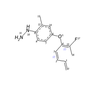 C=C/C=C\C(Oc1ccc(NN)c(C)c1)=C(/C)F